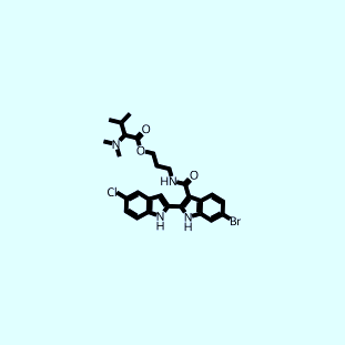 CC(C)C(C(=O)OCCCNC(=O)c1c(-c2cc3cc(Cl)ccc3[nH]2)[nH]c2cc(Br)ccc12)N(C)C